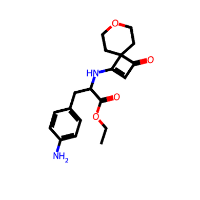 CCOC(=O)C(Cc1ccc(N)cc1)NC1=CC(=O)C12CCOCC2